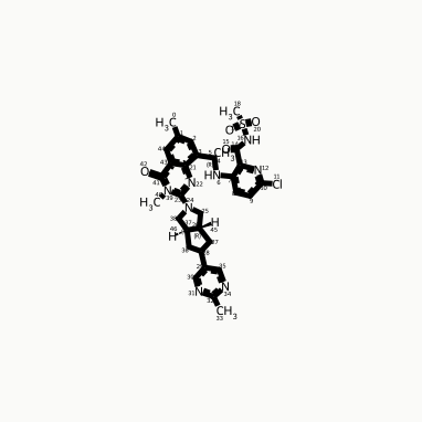 Cc1cc([C@@H](C)Nc2ccc(Cl)nc2C(=O)NS(C)(=O)=O)c2nc(N3C[C@@H]4CC(c5cnc(C)nc5)C[C@H]4C3)n(C)c(=O)c2c1